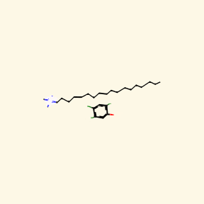 CCCCCCCCCCCCCCCCCC[N+](C)(C)C.[O-]c1cc(Cl)c(Cl)cc1Cl